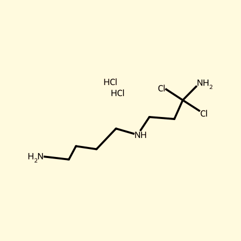 Cl.Cl.NCCCCNCCC(N)(Cl)Cl